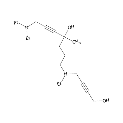 CCN(CC)CC#CC(C)(O)CCCN(CC)CC#CCO